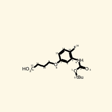 CC(C)(C)OC(=O)Nc1cc(OCCCC(=O)O)ccc1F